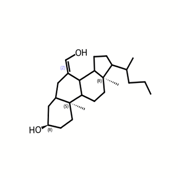 CCCC(C)C1CCC2C3/C(=C\O)CC4C[C@H](O)CC[C@]4(C)C3CC[C@]12C